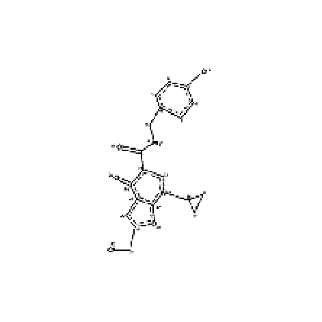 O=C(NCc1ccc(Cl)cc1)c1cn(C2CC2)c2oc(CCl)cc2c1=O